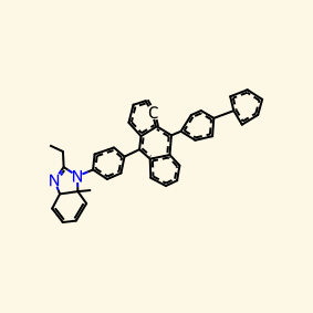 CCC1=NC2C=CC=CC2(C)N1c1ccc(-c2c3ccccc3c(-c3ccc(-c4ccccc4)cc3)c3ccccc23)cc1